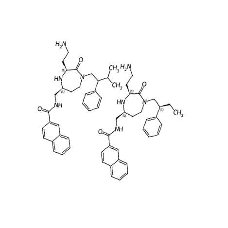 CC(C)C(CN1CC[C@@H](CNC(=O)c2ccc3ccccc3c2)N[C@@H](CCN)C1=O)c1ccccc1.CC[C@H](CN1CC[C@@H](CNC(=O)c2ccc3ccccc3c2)N[C@@H](CCN)C1=O)c1ccccc1